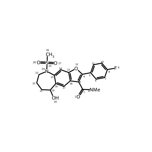 CNC(=O)c1c(-c2ccc(F)cc2)oc2cc3c(cc12)C(O)CCCN3S(C)(=O)=O